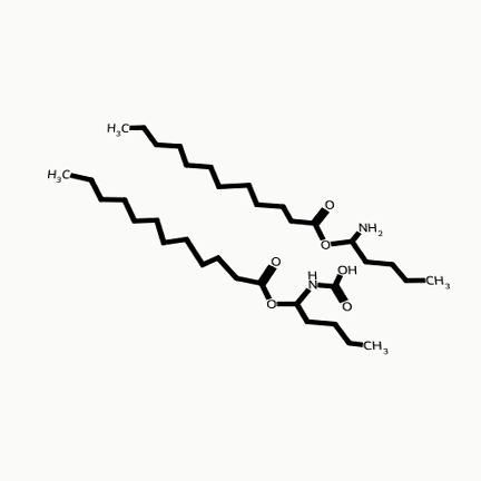 CCCCCCCCCCCC(=O)OC(CCCC)NC(=O)O.CCCCCCCCCCCC(=O)OC(N)CCCC